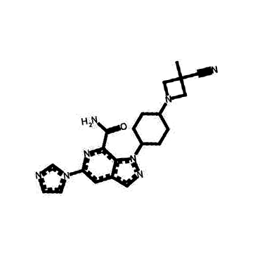 CC1(C#N)CN(C2CCC(n3ncc4cc(-n5ccnc5)nc(C(N)=O)c43)CC2)C1